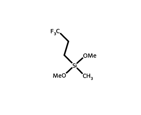 CO[Si](C)(CCC(F)(F)F)OC